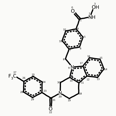 O=C(NO)c1ccc(Cn2c3c(c4ccccc42)CCN(C(=O)c2ccc(C(F)(F)F)cc2)C3)cc1